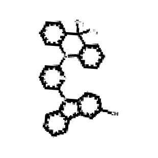 CC1(C)c2ccccc2N(c2cccc(-n3c4ccccc4c4cc(C#N)ccc43)n2)c2ccccc21